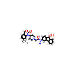 O=C(CN1CCC(N2C(=O)OCc3ccc(C(F)(F)F)cc32)CC1)Nc1ccc2c(c1)-c1ccccc1C2O